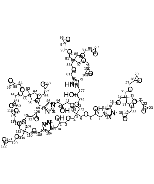 OC(COCC(COCC(O)Cn1cc(COCC(COCC2CO2)(COCC2CO2)COCC2CO2)nn1)(COCC(O)Cn1cc(COCC(COCC2CO2)(COCC2CO2)COCC2CO2)nn1)COCC(O)Cn1cc(COCC(COCC2CO2)(COCC2CO2)COCC2CO2)[nH]1)Cn1cc(COCC(COCC2CO2)(COCC2CO2)COCC2CO2)nn1